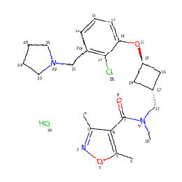 Cc1noc(C)c1C(=O)N(C)C[C@H]1C[C@H](Oc2cccc(CN3CCCC3)c2Cl)C1.Cl